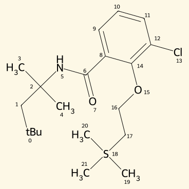 CC(C)(C)CC(C)(C)NC(=O)c1cccc(Cl)c1OCCS(C)(C)C